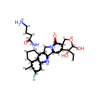 CC[C@]1(O)c2cc3n(c(=O)c2COC1O)Cc1c-3nc2cc(F)c(C)c3c2c1[C@@H](NC(=O)CCCN)CC3